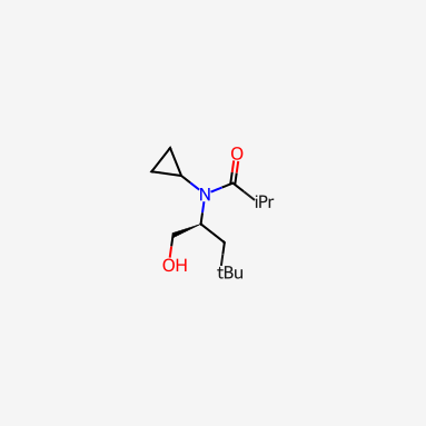 CC(C)C(=O)N(C1CC1)[C@H](CO)CC(C)(C)C